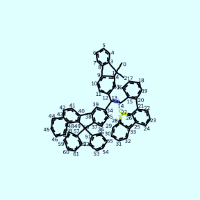 CC1(C)c2ccccc2-c2ccc(/C(=C\c3ccccc3-c3cccc4c3sc3ccccc34)c3ccc4c(c3)-c3ccc5ccccc5c3C4(c3ccccc3)c3ccccc3)cc21